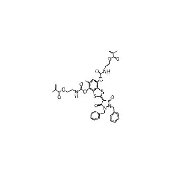 C=C(C)C(=O)OCCNC(=O)Oc1cc(C)c(OC(=O)NCCOC(=O)C(=C)C)c2c1SC(=C1C(=O)N(Cc3ccccc3)N(Cc3ccccc3)C1=O)S2